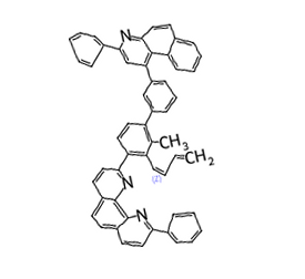 C=C/C=C\c1c(-c2ccc3ccc4ccc(-c5ccccc5)nc4c3n2)ccc(-c2cccc(-c3cc(-c4ccccc4)nc4ccc5ccccc5c34)c2)c1C